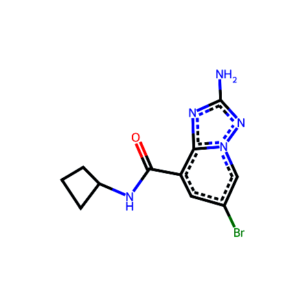 Nc1nc2c(C(=O)NC3CCC3)cc(Br)cn2n1